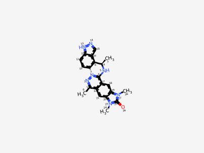 Cc1nnc(N[C@H](C)c2cccc3[nH]ncc23)c2cc3c(cc12)n(C)c(=O)n3C